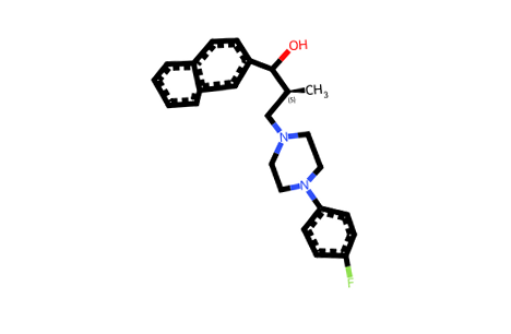 C[C@@H](CN1CCN(c2ccc(F)cc2)CC1)C(O)c1ccc2ccccc2c1